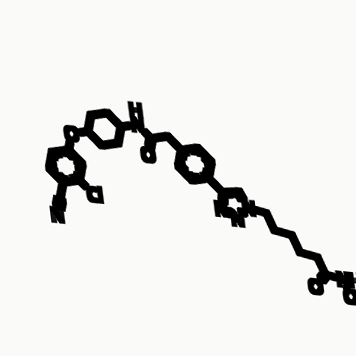 N#Cc1ccc(OC2CCC(NC(=O)Cc3ccc(-c4cn(CCCCCC(=O)NO)nn4)cc3)CC2)cc1Cl